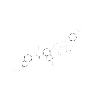 Cc1cn2cc(NC(=O)c3c(F)cc(N4CC[C@@H](N(C5(C#N)CC5)S(=O)(=O)c5ccc([N+](=O)[O-])cc5)C4)c4cn(C)nc34)cc(F)c2n1